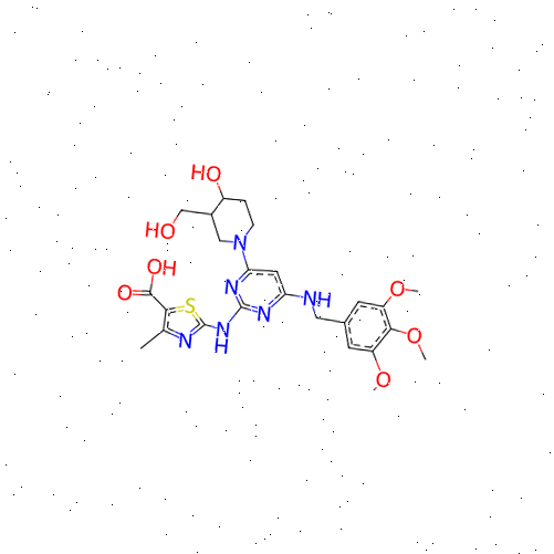 COc1cc(CNc2cc(N3CCC(O)C(CO)C3)nc(Nc3nc(C)c(C(=O)O)s3)n2)cc(OC)c1OC